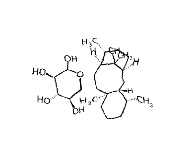 C[C@@H]1CCC[C@@]2(C)CC[C@H]3[C@H](C)CC[C@@H](C[C@H]12)C3(C)C.OC1OC[C@@H](O)[C@H](O)[C@H]1O